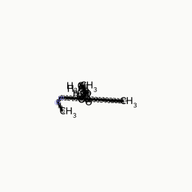 CCCCC/C=C\C/C=C\CCCCCCCCCC(=O)O[C@H](COC(=O)CCCCCCCCCCCCCCCCCCC)COP(=O)(O)OCC[N+](C)(C)C